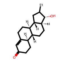 CCC1C[C@H]2[C@@H]3CCC4=CC(=O)CC[C@@H]4[C@H]3CC[C@@H]2[C@H]1O